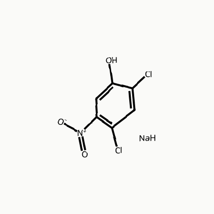 O=[N+]([O-])c1cc(O)c(Cl)cc1Cl.[NaH]